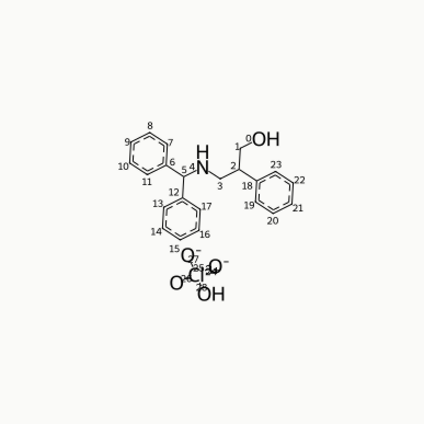 OCC(CNC(c1ccccc1)c1ccccc1)c1ccccc1.[O-][Cl+3]([O-])([O-])O